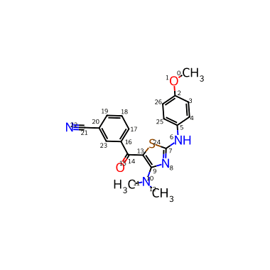 COc1ccc(Nc2nc(N(C)C)c(C(=O)c3cccc(C#N)c3)s2)cc1